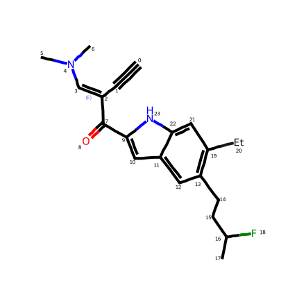 C#C/C(=C\N(C)C)C(=O)c1cc2cc(CCC(C)F)c(CC)cc2[nH]1